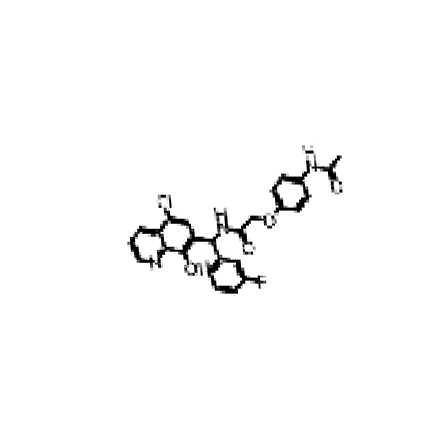 CC(=O)Nc1ccc(OCC(=O)NC(c2cccc(F)c2)c2cc(Cl)c3cccnc3c2O)cc1